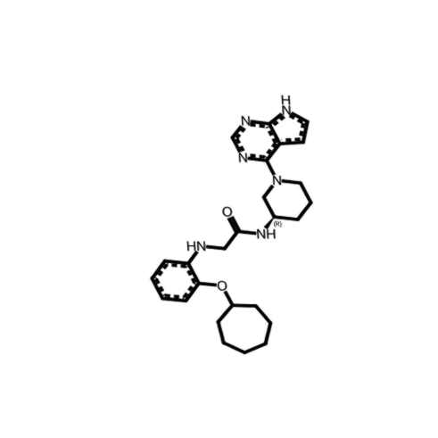 O=C(CNc1ccccc1OC1CCCCCC1)N[C@@H]1CCCN(c2ncnc3[nH]ccc23)C1